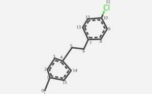 [CH2]c1ccc(CCc2ccc(Cl)cc2)cc1